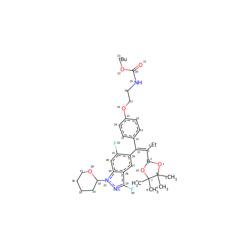 CCC(B1OC(C)(C)C(C)(C)O1)=C(c1ccc(OCCNC(=O)OC(C)(C)C)cc1)c1cc2c(F)nn(C3CCCCO3)c2cc1F